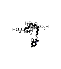 C/C(C=NCCCCC(NC(=O)C(CS)NC(=O)CCC(N)C(=O)O)C(=O)O)=C1\CCC(C)CC1=O